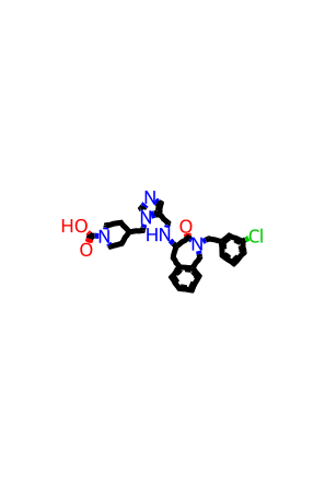 O=C(O)N1CCC(Cn2cncc2CNC2Cc3ccccc3CN(Cc3cccc(Cl)c3)C2=O)CC1